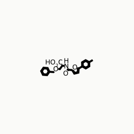 Cc1ccc(-c2ccc(C(=O)N[C@@H](COCc3ccccc3)C(=O)O)o2)cc1